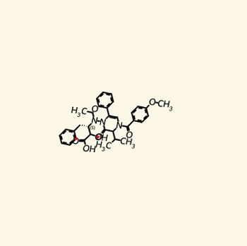 COc1ccc(C(=O)N2C=C(c3ccccc3)N(N(C(C)=O)[C@@H](Cc3ccccc3)C(O)C(=O)O)C(=O)C2C(C)C)cc1